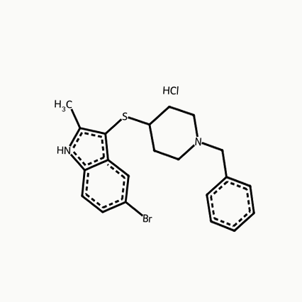 Cc1[nH]c2ccc(Br)cc2c1SC1CCN(Cc2ccccc2)CC1.Cl